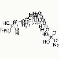 O.O.O.O.O.O.O.O.O.O.O.O.O=P(O)(O)O.O=P(O)(O)O.[NaH].[NaH]